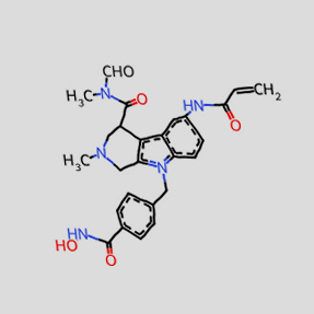 C=CC(=O)Nc1ccc2c(c1)c1c(n2Cc2ccc(C(=O)NO)cc2)CN(C)CC1C(=O)N(C)C=O